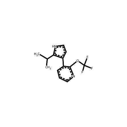 CC(C)c1[nH]ccc1-c1cccnc1OC(F)(F)F